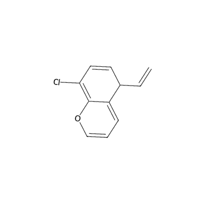 C=CC1C=CC(Cl)=C2OC=CC=C21